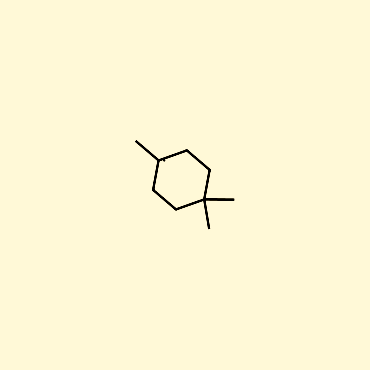 C[C]1CCC(C)(C)CC1